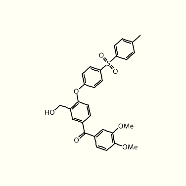 COc1ccc(C(=O)c2ccc(Oc3ccc(S(=O)(=O)c4ccc(C)cc4)cc3)c(CO)c2)cc1OC